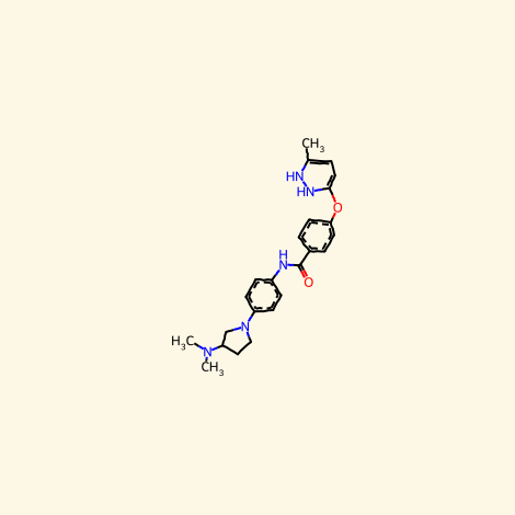 CC1=CC=C(Oc2ccc(C(=O)Nc3ccc(N4CCC(N(C)C)C4)cc3)cc2)NN1